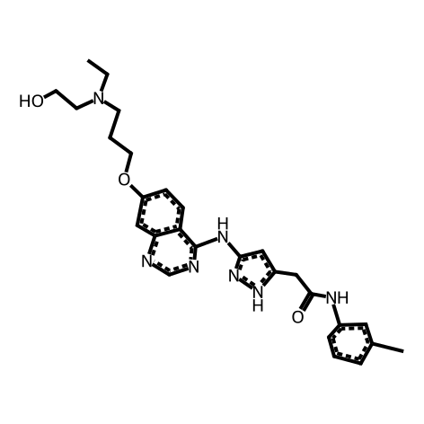 CCN(CCO)CCCOc1ccc2c(Nc3cc(CC(=O)Nc4cccc(C)c4)[nH]n3)ncnc2c1